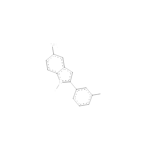 CCn1c(-c2cccc(F)c2)cc2cc(N)ccc21